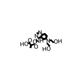 C=C(C(=O)O)C(=O)ONc1ncnc2ccc(N(CCO)CCO)cc12